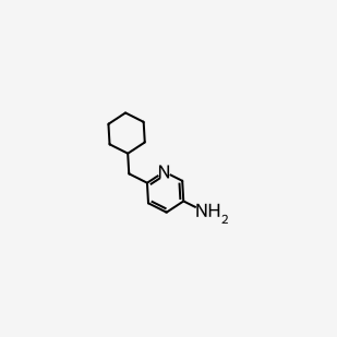 Nc1ccc(CC2CCCCC2)nc1